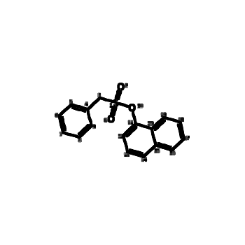 O=S(=O)(Cc1ccccc1)Oc1cccc2ccccc12